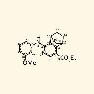 CCOC(=O)c1cnc(Nc2cccc(OC)c2)c2c1C1CCC2CC1